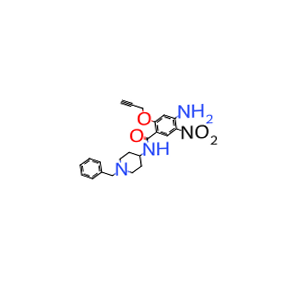 C#CCOc1cc(N)c([N+](=O)[O-])cc1C(=O)NC1CCN(Cc2ccccc2)CC1